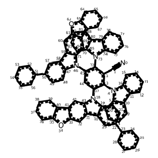 N#Cc1c(-n2c3ccccc3c3ccccc32)c(-n2c3ccc(-c4ccccc4)cc3c3cc4oc5ccccc5c4cc32)cc(-n2c3ccc(-c4ccccc4)cc3c3cc4oc5ccccc5c4cc32)c1-n1c2ccccc2c2ccccc21